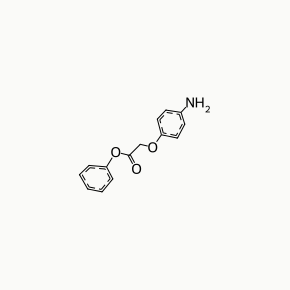 Nc1ccc(OCC(=O)Oc2ccccc2)cc1